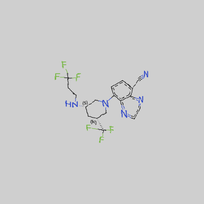 N#Cc1ccc(N2C[C@@H](NCCC(F)(F)F)C[C@@H](C(F)(F)F)C2)c2nccnc12